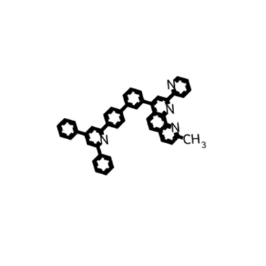 Cc1ccc2ccc3c(-c4cccc(-c5ccc(-c6cc(-c7ccccc7)cc(-c7ccccc7)n6)cc5)c4)cc(-c4ccccn4)nc3c2n1